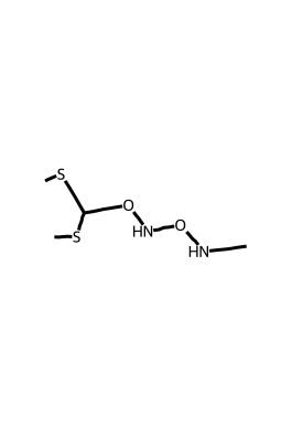 CNONOC(SC)SC